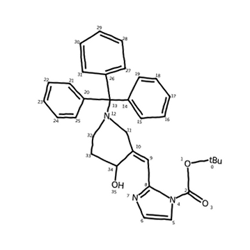 CC(C)(C)OC(=O)n1ccnc1C=C1CN(C(c2ccccc2)(c2ccccc2)c2ccccc2)CCC1O